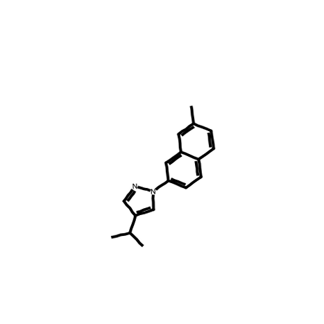 Cc1ccc2ccc(-n3cc(C(C)C)cn3)cc2c1